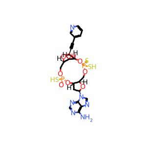 Nc1ncnc2c1ncn2[C@H]1C[C@@H]2OP(=O)(S)OC[C@H]3O[C@@H](C#Cc4cccnc4)[C@H](OP(=S)(S)OC[C@H]2O1)[C@@H]3O